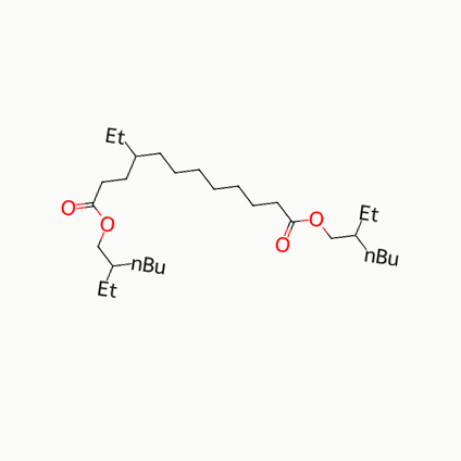 CCCCC(CC)COC(=O)CCCCCCCC(CC)CCC(=O)OCC(CC)CCCC